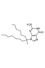 CCCCCCCC(C)(CCCCCC)n1cnc2c(=O)[nH]c(N)nc21